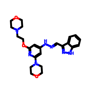 C(=NNc1cc(OCCN2CCOCC2)nc(N2CCOCC2)c1)c1n[nH]c2ccccc12